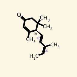 C/C=C(C)\C=C\[C@H]1C(C)=CC(=O)CC1(C)C